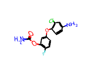 NC(=O)Oc1cc(Oc2ccc(N)cc2Cl)ccc1F